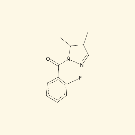 CC1C=NN(C(=O)c2ccccc2F)C1C